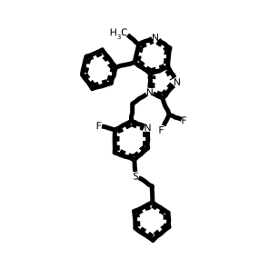 Cc1ncc2nc(C(F)F)n(Cc3ncc(SCc4ccccc4)cc3F)c2c1-c1ccccc1